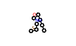 c1ccc(-c2ccc(-c3ccc(-c4cccc5oc6cccc(Nc7ccc(-c8cccc9c8sc8ccccc89)cc7)c6c45)cc3)cc2)cc1